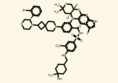 CC(C)c1ccccc1[C@@H]1COCCN1C1CC2(CCN(c3ccc(C(=O)NS(=O)(=O)c4ccc(NCC5CCC(C)(O)CC5)c([N+](=O)[O-])c4)c(N4c5cc6c(F)c[nH]c6nc5O[C@H]5COC(C)(C)C[C@@H]54)c3)CC2)C1